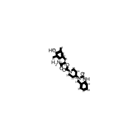 Cc1cc(C[C@@H](OC(=O)N2CCC(N3Cc4ccccc4NC3=O)CC2)C(N)=O)cc(C)c1O